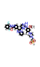 CCOc1cc(N2CCN(CCS(C)(=O)=O)CC2)c(C)cc1Nc1nccc(-c2c(-c3cccc(C(=O)Nc4c(F)cccc4F)c3)nc3ccccn23)n1